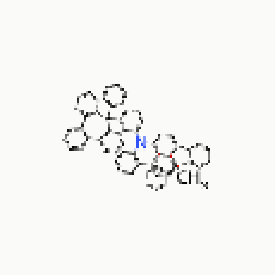 CC1(c2ccccc2)c2ccccc2-c2ccc(N(c3cccc(C4(c5ccccc5)c5ccccc5-c5ccccc5-c5ccccc54)c3)c3ccccc3-c3ccccc3)cc21